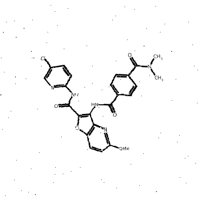 COc1ccc2oc(C(=O)Nc3ccc(Cl)cn3)c(NC(=O)c3ccc(C(=O)N(C)C)cc3)c2n1